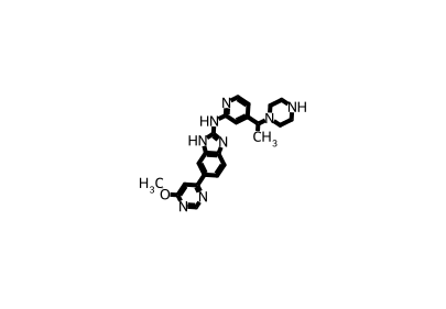 COc1cc(-c2ccc3nc(Nc4cc(C(C)N5CCNCC5)ccn4)[nH]c3c2)ncn1